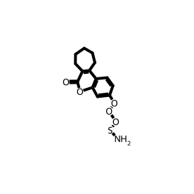 NSOOOc1ccc2c3c(c(=O)oc2c1)CCCCC3